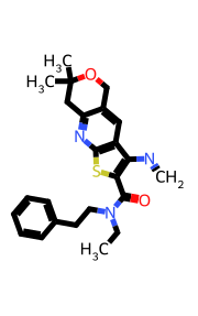 C=Nc1c(C(=O)N(CC)CCc2ccccc2)sc2nc3c(cc12)COC(C)(C)C3